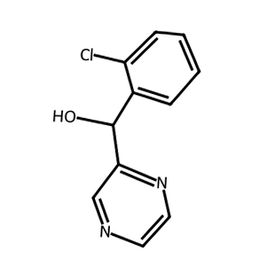 OC(c1cnccn1)c1ccccc1Cl